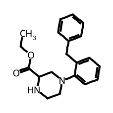 CCOC(=O)C1CN(c2ccccc2Cc2ccccc2)CCN1